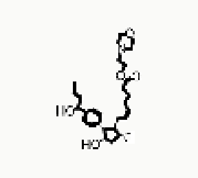 CCCC(O)c1ccc([C@@H]2[C@@H](C/C=C\CCCC(=O)OCCN3CCOCC3)[C@H](Cl)C[C@H]2O)cc1